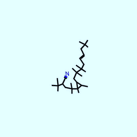 CC1C(CC(C)(C)C(C)(C)CC=CCC(C)(C)C)C1(C)C(C)(C)CC(C#N)C(C)(C)C